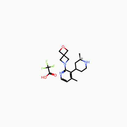 Cc1ccnc(N2CC3(COC3)C2)c1C1CCN[C@H](C)C1.O=C(O)C(F)(F)F